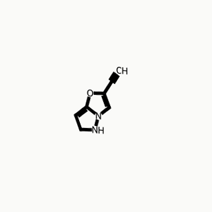 C#CC1=CN2NCC=C2O1